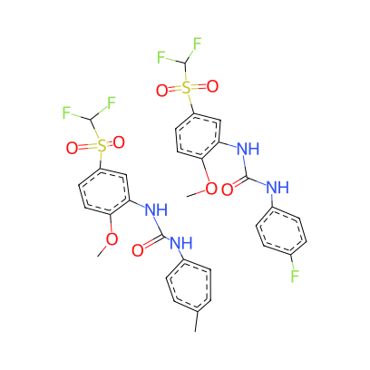 COc1ccc(S(=O)(=O)C(F)F)cc1NC(=O)Nc1ccc(C)cc1.COc1ccc(S(=O)(=O)C(F)F)cc1NC(=O)Nc1ccc(F)cc1